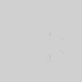 O=CC1NN=NN1C(F)(F)F